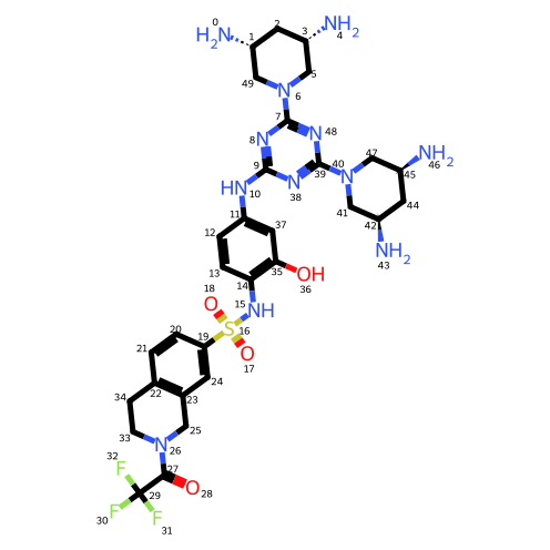 N[C@@H]1C[C@H](N)CN(c2nc(Nc3ccc(NS(=O)(=O)c4ccc5c(c4)CN(C(=O)C(F)(F)F)CC5)c(O)c3)nc(N3C[C@H](N)C[C@H](N)C3)n2)C1